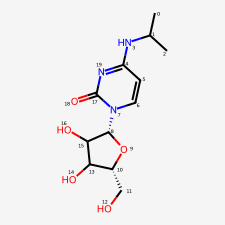 CC(C)Nc1ccn([C@@H]2O[C@H](CO)C(O)C2O)c(=O)n1